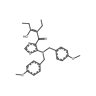 CC/C(O)=C(\CC)C(=O)c1ncsc1N(Cc1ccc(OC)cc1)Cc1ccc(OC)cc1